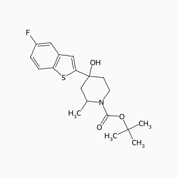 CC1CC(O)(c2cc3cc(F)ccc3s2)CCN1C(=O)OC(C)(C)C